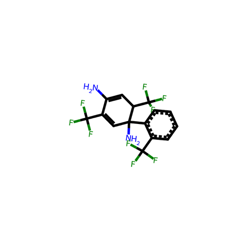 NC1=CC(C(F)(F)F)C(N)(c2ccccc2C(F)(F)F)C=C1C(F)(F)F